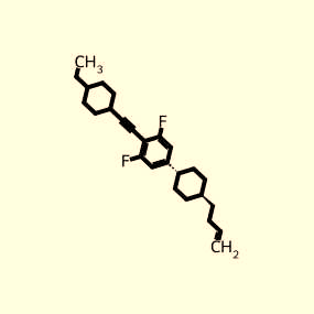 C=CCC[C@H]1CC[C@H](c2cc(F)c(C#CC3CCC(CC)CC3)c(F)c2)CC1